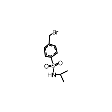 CC(C)NS(=O)(=O)c1ccc(CBr)cc1